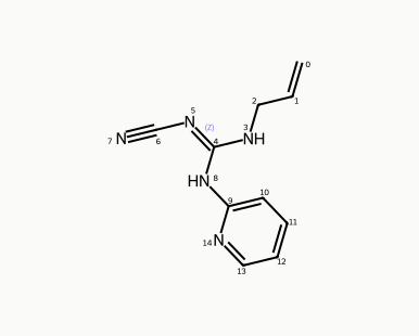 C=CCN/C(=N/C#N)Nc1ccccn1